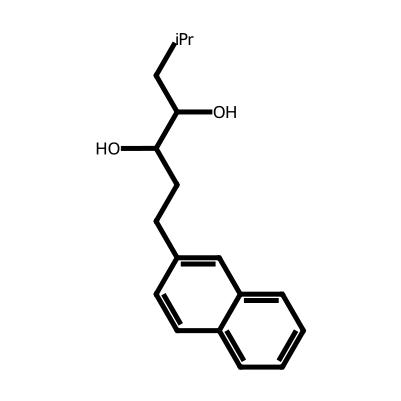 CC(C)CC(O)C(O)CCc1ccc2ccccc2c1